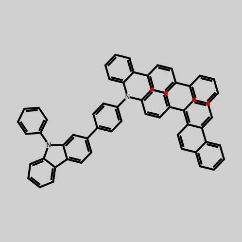 c1ccc(-c2ccc(-c3ccccc3N(c3ccc(-c4ccc5c6ccccc6n(-c6ccccc6)c5c4)cc3)c3ccc(-c4cccc5c4ccc4ccccc45)cc3)cc2)cc1